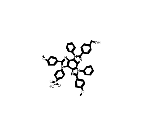 COc1ccc(-c2nc3c(c4nc(-c5ccc(CO)cc5)n(-c5ccccc5)c4c4nc(-c5ccc(OC)cc5)n(-c5ccc(S(=O)(=O)O)cc5)c43)n2-c2ccccc2)cc1